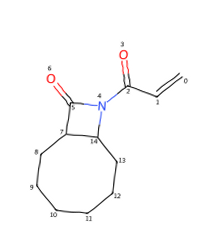 C=CC(=O)N1C(=O)C2CCCCCCC21